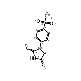 O=C1CN(c2ccc(S(=O)(=O)C(F)(F)F)cc2)C(=O)N1